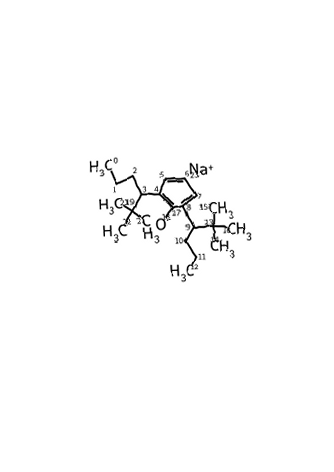 CCCC(c1cccc(C(CCC)C(C)(C)C)c1[O-])C(C)(C)C.[Na+]